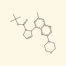 Cc1cc(C2C=CCN2C(=O)OC(C)(C)C)c2nc(N3CCOCC3)cnc2c1